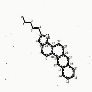 CCC/C=C/c1cc2ccc3c4cc5ccccc5cc4ccc3c2o1